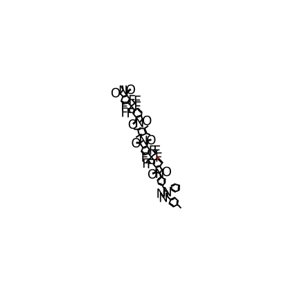 Cc1ccc(-c2nnc(-c3ccc(N4C(=O)c5ccc(C(c6ccc7c(c6)C(=O)N(c6c(C)c(C)c(N8C(=O)c9ccc(C(c%10ccc%11c(c%10)C(=O)N(C)C%11=O)(C(F)(F)F)C(F)(F)F)cc9C8=O)c(C)c6C)C7=O)(C(F)(F)F)C(F)(F)F)cc5C4=O)cc3)n2-c2ccccc2)cc1